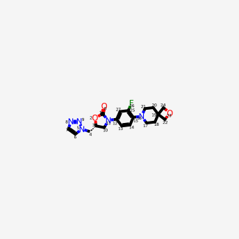 O=C1O[C@@H](Cn2ccnn2)CN1c1ccc(N2CCC3(CC2)COC3)c(F)c1